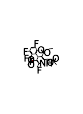 CCOC(=O)C1=C(COC(C)=O)NC(CF)=C(C(=O)OC)C1c1cc(F)cc(F)c1C(F)F